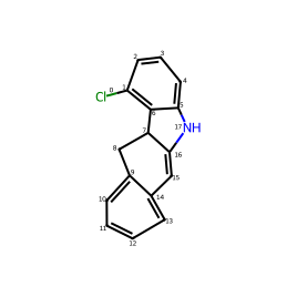 Clc1cccc2c1C1Cc3ccccc3C=C1N2